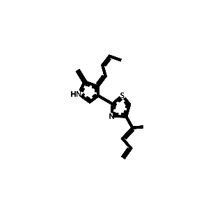 C=C/C=C(\C)c1csc(-c2c[nH]c(=C)/c2=C\C=C/C)n1